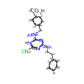 O=C(O)c1ccc(CNc2nc(Cl)nc(NCCc3ccccc3)n2)cc1